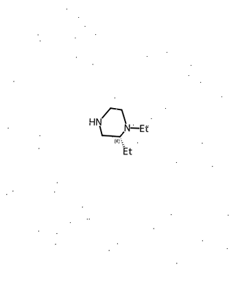 CC[C@@H]1CNCCN1CC